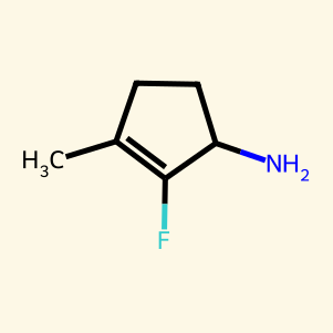 CC1=C(F)C(N)CC1